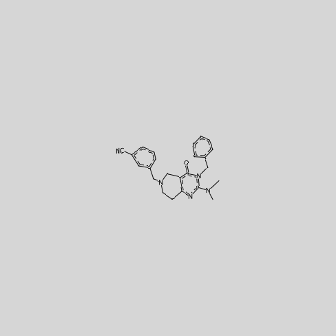 CN(C)c1nc2c(c(=O)n1Cc1ccccc1)CN(Cc1cccc(C#N)c1)CC2